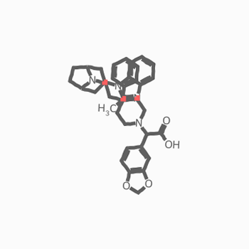 Cc1nc2ccccc2n1C1CC2CCC(C1)N2CCC1(c2ccccc2)CCN(C(C(=O)O)c2ccc3c(c2)OCO3)CC1